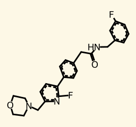 O=C(Cc1ccc(-c2ccc(CN3CCOCC3)nc2F)cc1)NCc1cccc(F)c1